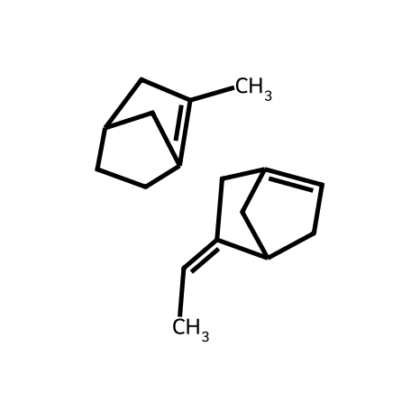 C/C=C1/CC2=CCC1C2.CC1=C2CCC(C1)C2